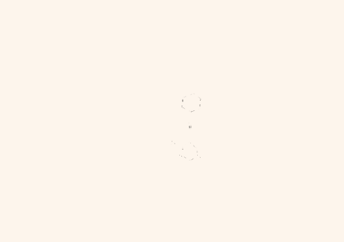 OC1CCN(c2ncncc2C#Cc2ccc(Cl)cc2)CC1